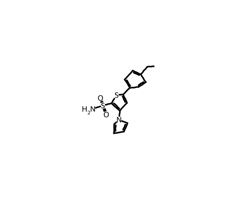 CCc1ccc(-c2cc(-n3cccc3)c(S(N)(=O)=O)s2)cc1